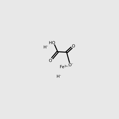 O=C([O-])C(=O)O.[Fe+3].[H-].[H-]